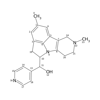 Cc1cc2c3c(c1)c1c(n3C(C(O)c3ccncc3)C2)CCN(C)C1